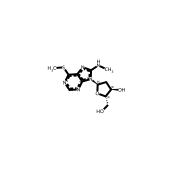 CNc1nc2c(SC)ncnc2n1[C@H]1C[C@@H](O)[C@H](CO)O1